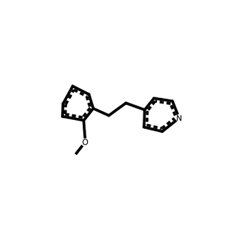 COc1ccccc1CCc1ccncc1